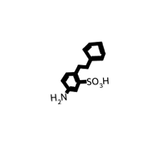 Nc1ccc(CCc2ccccc2)c(S(=O)(=O)O)c1